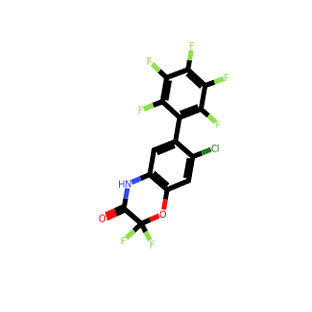 O=C1Nc2cc(-c3c(F)c(F)c(F)c(F)c3F)c(Cl)cc2OC1(F)F